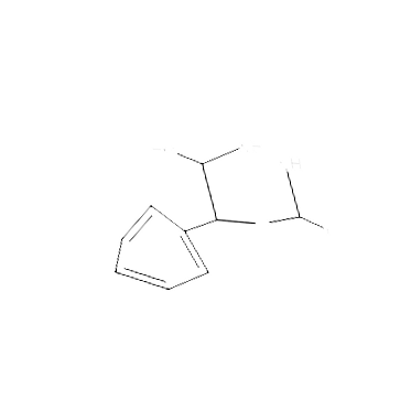 CC(C)CC(c1ccccc1)C(C)O